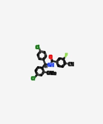 COc1cc(Cl)ccc1[C@H](NC(=O)c1ccc(C#N)c(F)c1)c1ccc(Cl)cc1